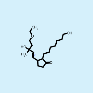 CCOCCC(C)(O)/C=C/C1CCC(=O)C1CCCCCCCO